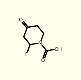 O=C1CCN(C(=O)O)C(F)C1